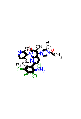 C=CC(=O)N1CCN(c2c(C#N)c(=O)n(C3C(C(C)C)=NC=CC3C)c3nc(-c4c(C)c(Cl)c(F)c(Cl)c4N)c(Cl)cc23)C[C@H]1C